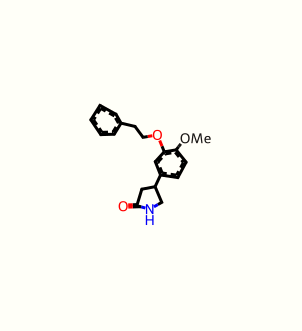 COc1ccc(C2CNC(=O)C2)cc1OCCc1ccccc1